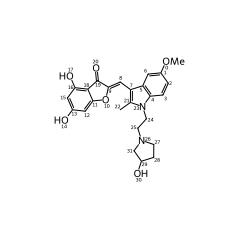 COc1ccc2c(c1)c(/C=C1\Oc3cc(O)cc(O)c3C1=O)c(C)n2CCN1CCC(O)C1